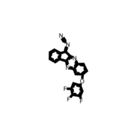 N#C/N=C1\c2ccccc2-c2nc3cc(Oc4cc(F)c(F)c(F)c4)ccc3nc21